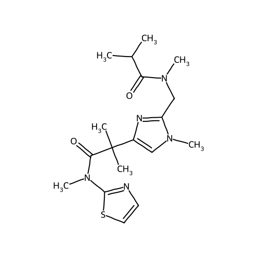 CC(C)C(=O)N(C)Cc1nc(C(C)(C)C(=O)N(C)c2nccs2)cn1C